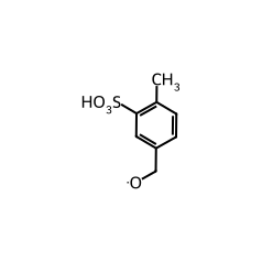 Cc1ccc(C[O])cc1S(=O)(=O)O